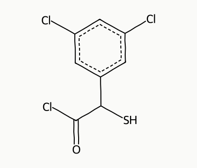 O=C(Cl)C(S)c1cc(Cl)cc(Cl)c1